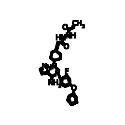 C=CC(=O)NNC(=O)C=C1CCC(N2CN(c3ccc(Oc4ccccc4)cc3F)C(N)c3ccnn32)CC1